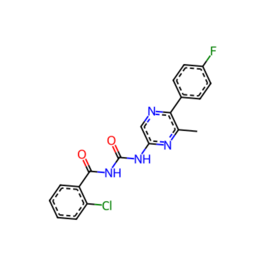 Cc1nc(NC(=O)NC(=O)c2ccccc2Cl)cnc1-c1ccc(F)cc1